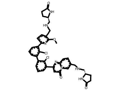 COc1nc(-c2cccc(-c3cccc(-c4cc(=O)n5cc(CNC[C@@H]6CCC(=O)N6)ccc5n4)c3Cl)c2Cl)ccc1CNC[C@H]1CCC(=O)N1